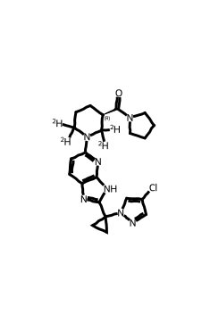 [2H]C1([2H])CC[C@@H](C(=O)N2CCCC2)C([2H])([2H])N1c1ccc2nc(C3(n4cc(Cl)cn4)CC3)[nH]c2n1